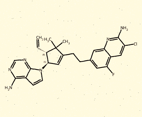 C=C[C@H]1[C@H](n2ccc3c(N)ncnc32)C=C(CCc2cc(F)c3cc(Cl)c(N)nc3c2)C1(C)C